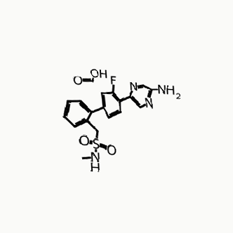 CNS(=O)(=O)Cc1ccccc1-c1ccc(-c2cnc(N)cn2)c(F)c1.O=CO